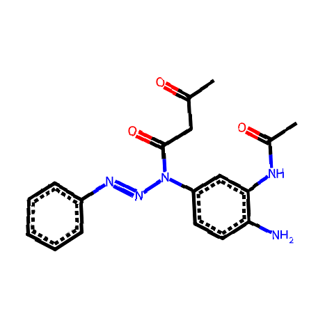 CC(=O)CC(=O)N(N=Nc1ccccc1)c1ccc(N)c(NC(C)=O)c1